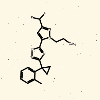 COCCn1nc(C(F)F)cc1-c1nc(C2(c3ccccc3C)CC2)no1